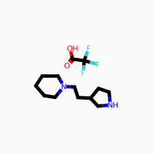 C1CCN(CCC2CCNC2)CC1.O=C(O)C(F)(F)F